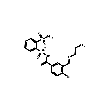 NS(=O)(=O)c1ccccc1S(=O)(=O)NC(=O)c1ccc(Br)c(COCCC(F)(F)F)c1